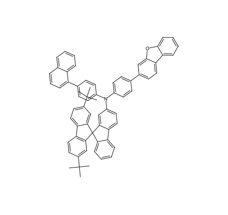 CC(C)(C)c1ccc2c(c1)C1(c3ccccc3-c3ccc(N(c4ccc(-c5ccc6c(c5)oc5ccccc56)cc4)c4ccc(-c5cccc6ccccc56)cc4)cc31)c1cc(C(C)(C)C)ccc1-2